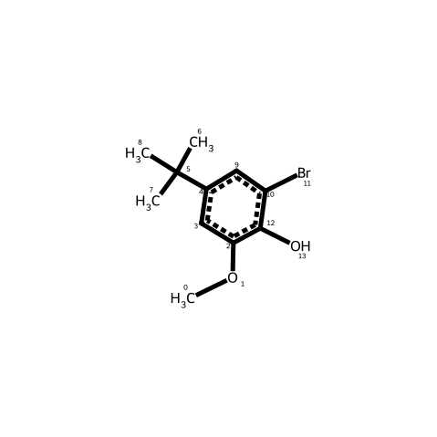 COc1cc(C(C)(C)C)cc(Br)c1O